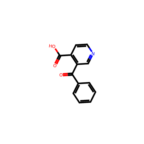 O=C(O)c1ccncc1C(=O)c1ccccc1